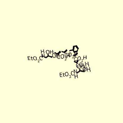 C=C(C)C(=O)O.C=C(C)C(=O)O.C=C(C)C(=O)O.C=C(C)C(=O)O.CCOC(=O)NCC(O)CO.CCOC(=O)NCC(O)CO.Cc1ccccc1